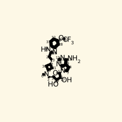 CN(C[C@H]1O[C@@H](n2ccc3c(N)ncnc32)[C@H](O)[C@@H]1O)[C@H]1C[C@@H](CCc2nc3cc(OC(F)(F)F)ccc3[nH]2)C1